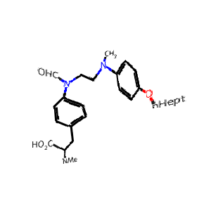 CCCCCCCOc1ccc(N(C)CCN(C=O)c2ccc(CC(NC)C(=O)O)cc2)cc1